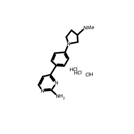 CNC1CCN(c2ccc(-c3ccnc(N)n3)cc2)C1.Cl.Cl.Cl